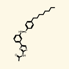 CCCCCCCCc1ccc(SNc2cccc(-c3csc(NC(C)=O)n3)c2)cc1